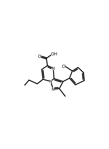 CCCc1cc(C(=O)O)nc2c(-c3ccccc3Cl)c(C)nn12